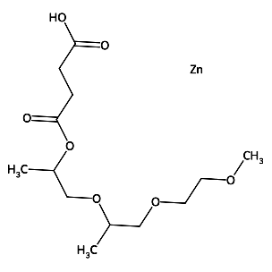 COCCOCC(C)OCC(C)OC(=O)CCC(=O)O.[Zn]